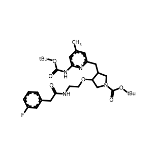 Cc1cc(CC2CN(C(=O)OC(C)(C)C)CC2OCCNC(=O)Cc2cccc(F)c2)nc(NC(=O)OC(C)(C)C)c1